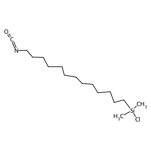 C[Si](C)(Cl)CCCCCCCCCCCCCN=C=O